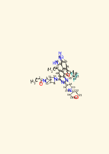 C=CC(=O)N1CC2(CCN(c3nc(C4CCN(C5CCOCC5)CC4)nc4c(OCC(F)(F)F)c(-c5c(C)ccc(N)c5C=N)c(C=C)cc34)CC2)C1